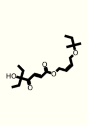 CCC(C)(C)OC/C=C\COC(=O)/C=C/C(=O)C(O)(CC)CC